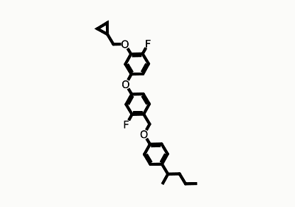 CCCC(C)c1ccc(OCc2ccc(Oc3ccc(F)c(OCC4CC4)c3)cc2F)cc1